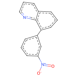 O=[N+]([O-])c1cccc(-c2cccc3cccnc23)c1